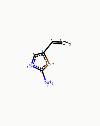 C=Cc1cnc(N)s1